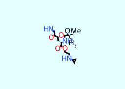 CO[C@H](C)C(=O)N[C@@H](CCC(=O)C=N)C(=O)OCCNC1CC1